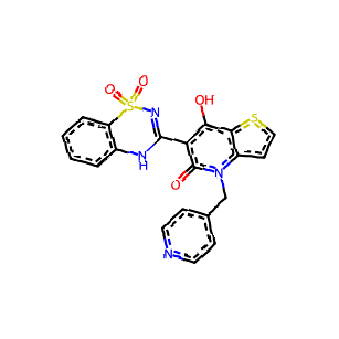 O=c1c(C2=NS(=O)(=O)c3ccccc3N2)c(O)c2sccc2n1Cc1ccncc1